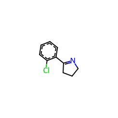 Clc1ccccc1C1=NCCC1